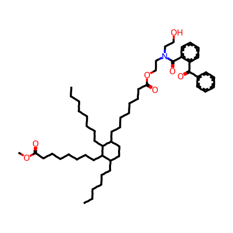 CCCCCCCCC1C(CCCCCCCC(=O)OCCN(CCO)C(=O)c2ccccc2C(=O)c2ccccc2)CCC(CCCCCC)C1CCCCCCCC(=O)OC